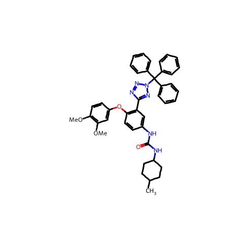 COc1ccc(Oc2ccc(NC(=O)NC3CCC(C)CC3)cc2-c2nnn(C(c3ccccc3)(c3ccccc3)c3ccccc3)n2)cc1OC